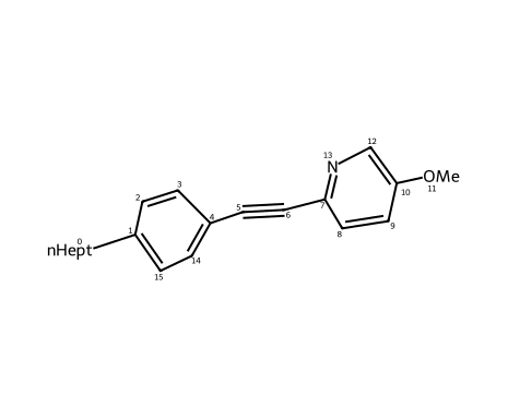 CCCCCCCc1ccc(C#Cc2ccc(OC)cn2)cc1